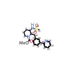 COC(=O)N1CCCC(NS(C)(=O)=O)C1Cc1cccc(-c2ccccn2)c1